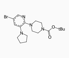 CC(C)(C)OC(=O)N1CCN(c2ncc(Br)cc2N2CCCC2)CC1